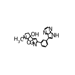 CN1CCC(O)(c2cc(-c3cccc(-c4c[nH]c5nccnc45)c3)no2)C1=O